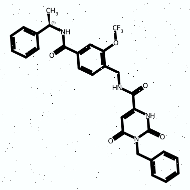 C[C@@H](NC(=O)c1ccc(CNC(=O)c2cc(=O)n(Cc3ccccc3)c(=O)[nH]2)c(OC(F)(F)F)c1)c1ccccc1